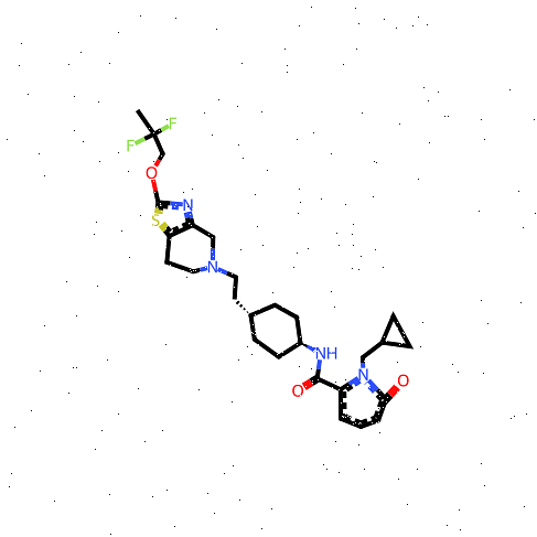 CC(F)(F)COc1nc2c(s1)CCN(CC[C@H]1CC[C@H](NC(=O)c3cccc(=O)n3CC3CC3)CC1)C2